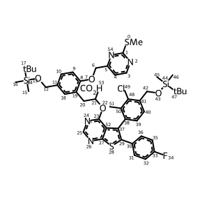 CSc1nccc(COc2ccc(CO[Si](C)(C)C(C)(C)C)cc2CC(Oc2ncnc3sc(-c4ccc(F)cc4)c(-c4ccc(CO[Si](C)(C)C(C)(C)C)c(Cl)c4C)c23)C(=O)O)n1